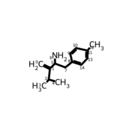 C=C(C(C)C)C(N)Cc1ccc(C)cc1